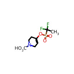 CC(F)(F)S(=O)(=O)OC1=CCN(C(=O)O)CC1